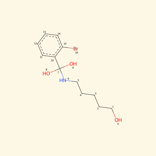 OCCCCCNC(O)(O)c1ccccc1Br